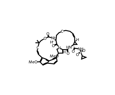 COc1cc2ccc3cc2cc1C=CCC(C)(C)COC(=O)N[C@H]1CCCCC/C=C\[C@@H]2C[C@@]2(C(=O)NS(=O)(=O)C2CC2)NC(=O)[C@@H]2C[C@]3(OC)CN2C1=O